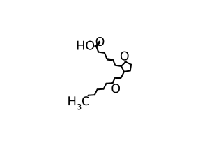 CCCCCCC(=O)/C=C/C1CCC(=O)C1C/C=C/CCC(=O)O